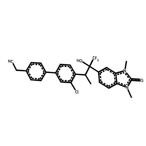 CC(c1ccc(-c2ccc(CC#N)cc2)cc1Cl)C(O)(c1ccc2c(c1)n(C)c(=O)n2C)C(F)(F)F